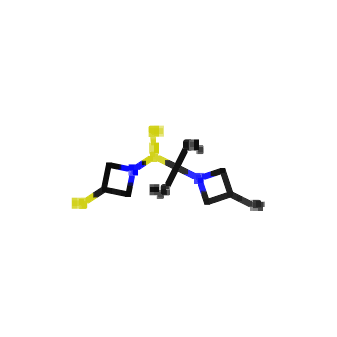 CC(C)C1CN(C(C)(C)[SH](S)N2CC(S)C2)C1